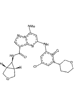 CNc1cc(Nc2cc(Cl)cn(C3CCCOC3)c2=O)nc2c(C(=O)N[C@H]3[C@@H]4COC[C@@H]43)cnn12